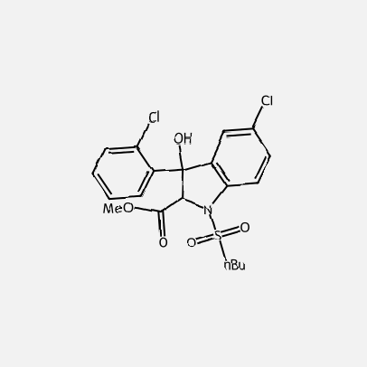 CCCCS(=O)(=O)N1c2ccc(Cl)cc2C(O)(c2ccccc2Cl)C1C(=O)OC